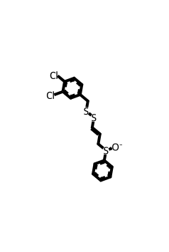 [O-][S+](CC=CSSCc1ccc(Cl)c(Cl)c1)c1ccccc1